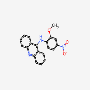 COc1cc([N+](=O)[O-])ccc1Nc1c2ccccc2nc2ccccc12